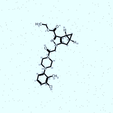 CCOC(=O)c1nn(CC(=O)N2CCN(c3cccc(Cl)c3C)CC2)c2c1[C@@H]1C[C@@H]1C2